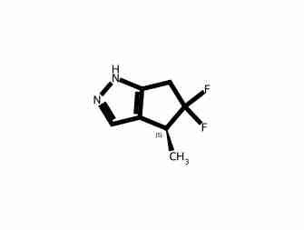 C[C@H]1c2cn[nH]c2CC1(F)F